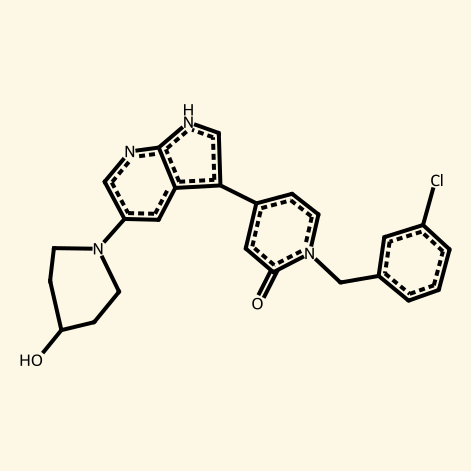 O=c1cc(-c2c[nH]c3ncc(N4CCC(O)CC4)cc23)ccn1Cc1cccc(Cl)c1